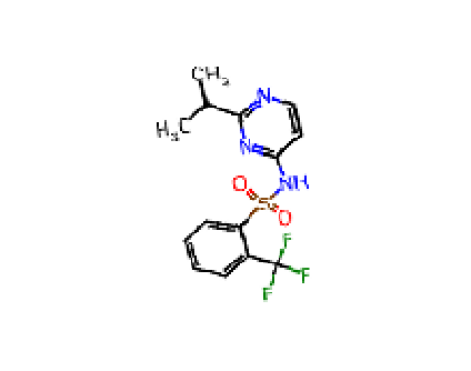 CC(C)c1nccc(NS(=O)(=O)c2ccccc2C(F)(F)F)n1